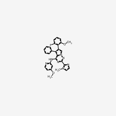 COc1ccnc(Nc2nc(-c3nccn3C)nn3cc(-c4c(F)cccc4OC)c(-c4ccccc4)c23)c1